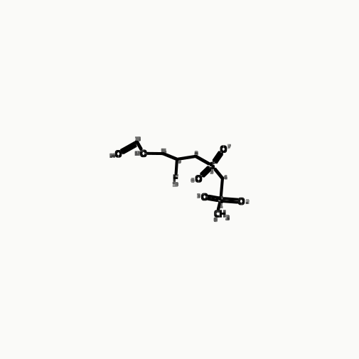 CS(=O)(=O)CS(=O)(=O)CC(F)COC=O